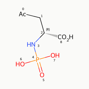 CC(=O)C[C@@H](NP(=O)(O)O)C(=O)O